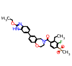 CCOc1nc2ccc(-c3ccc4c(c3)CN(C(=O)c3ccc(S(C)(=O)=O)c(F)c3CC)CCO4)cc2[nH]1